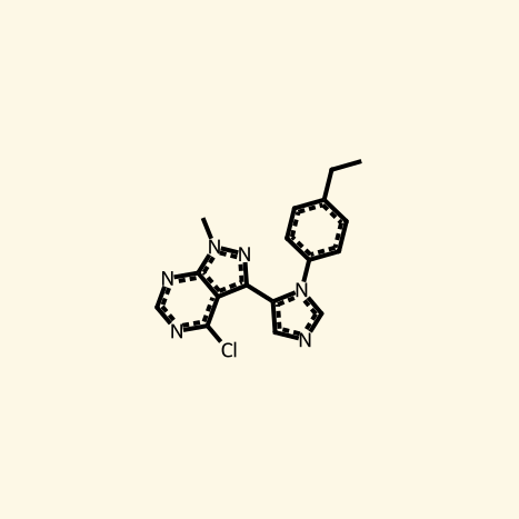 CCc1ccc(-n2cncc2-c2nn(C)c3ncnc(Cl)c23)cc1